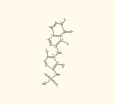 CCCS(=O)(=O)Nc1ccc(Cl)c(Nc2ccc3ncn(C)c(=O)c3c2C)c1Cl